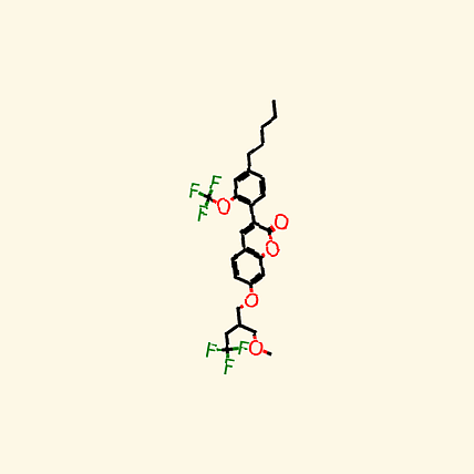 CCCCCc1ccc(-c2cc3ccc(OCC(COC)CC(F)(F)F)cc3oc2=O)c(OC(F)(F)F)c1